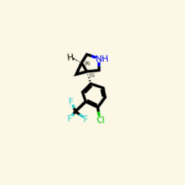 FC(F)(F)c1cc([C@@]23CNC[C@@H]2C3)ccc1Cl